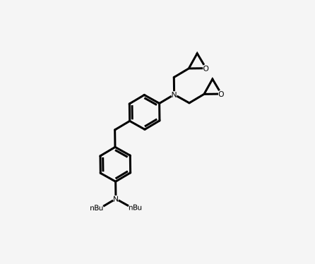 CCCCN(CCCC)c1ccc(Cc2ccc(N(CC3CO3)CC3CO3)cc2)cc1